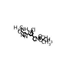 CNC(=O)c1cc(-c2cc(C3CCCN(C(=O)OC(C)(C)C)C3)cc(Cl)n2)ncn1